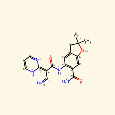 CC1(C)Cc2cc(NC(=O)/C(C=N)=C3\N=CC=CN3)c(C(N)=O)cc2O1